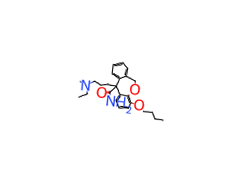 CCCCOc1cccc2c1OCc1ccccc1C2(CCCN(C)CC)C(N)=O